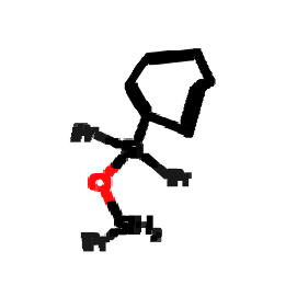 CC(C)[SiH2]O[Si](c1ccccc1)(C(C)C)C(C)C